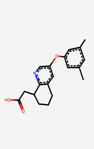 Cc1cc(C)cc(Oc2cnc3c(c2)CCCC3CC(=O)O)c1